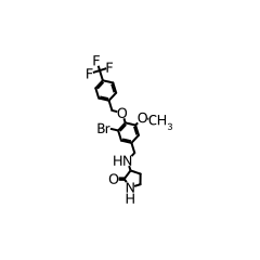 COc1cc(CNC2CCNC2=O)cc(Br)c1OCc1ccc(C(F)(F)F)cc1